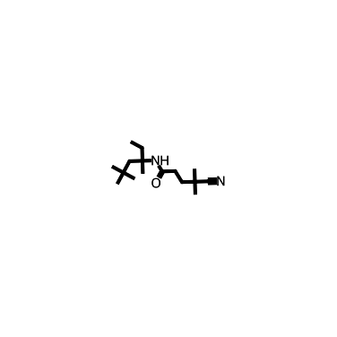 CCC(C)(CC(C)(C)C)NC(=O)CCC(C)(C)C#N